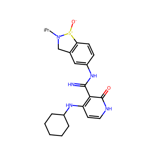 CC(C)N1Cc2cc(NC(=N)c3c(NC4CCCCC4)cc[nH]c3=O)ccc2[S+]1[O-]